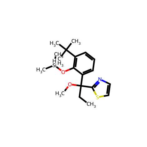 CCC(OC)(c1nccs1)c1cccc(C(C)(C)C)c1O[SiH](C)C